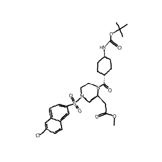 COC(=O)CC1CN(S(=O)(=O)c2ccc3cc(Cl)ccc3c2)CCN1C(=O)[C@H]1CC[C@H](NC(=O)OC(C)(C)C)CC1